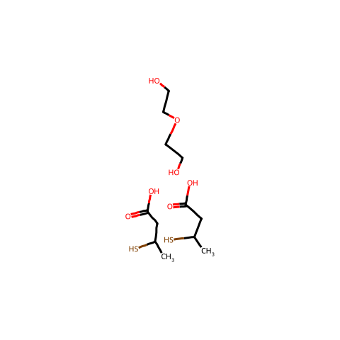 CC(S)CC(=O)O.CC(S)CC(=O)O.OCCOCCO